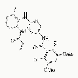 C=CC(=O)Nc1cccc(C)c1Nc1ncc(NC(=O)c2c(Cl)c(OC)cc(OC)c2Cl)cn1